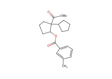 Cc1cccc(C(=O)OC2CCCC2(C(=O)OCC(C)C)C2CCCC2)c1